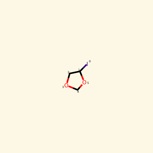 IC1COCO1